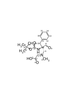 CN(CC(=O)O)C[C@@](C=O)(Cc1ccccc1)NC(=O)OC(C)(C)C